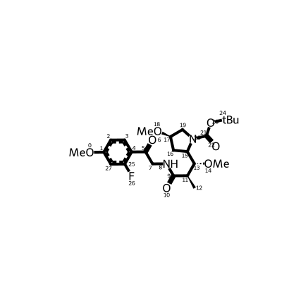 COc1ccc(C(=O)CNC(=O)[C@H](C)[C@@H](OC)C2C[C@@H](OC)CN2C(=O)OC(C)(C)C)c(F)c1